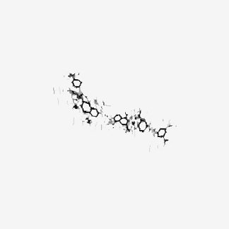 Nc1c(N=Nc2ccc3c(O)c(N=Nc4ccc(N=Nc5cc(C(=O)O)cc(C(=O)O)c5)cc4S(=O)(=O)O)c(S(=O)(=O)O)cc3c2S(=O)(=O)O)cc(S(=O)(=O)O)c2cc(S(=O)(=O)O)c(N=Nc3ccc([N+](=O)[O-])cc3S(=O)O)c(O)c12